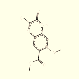 COC(=O)c1cc2nc(Cl)c(=O)[nH]c2cc1OC